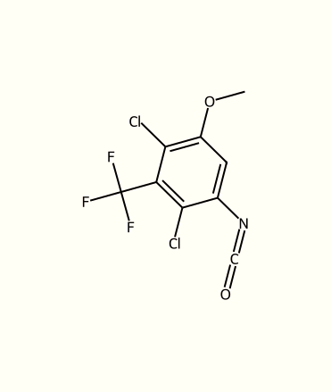 COc1cc(N=C=O)c(Cl)c(C(F)(F)F)c1Cl